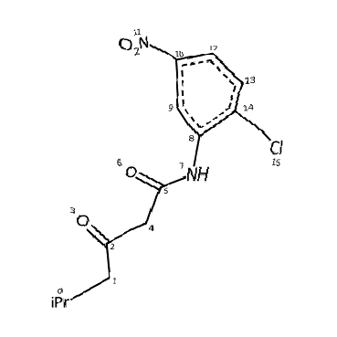 CC(C)CC(=O)CC(=O)Nc1cc([N+](=O)[O-])ccc1Cl